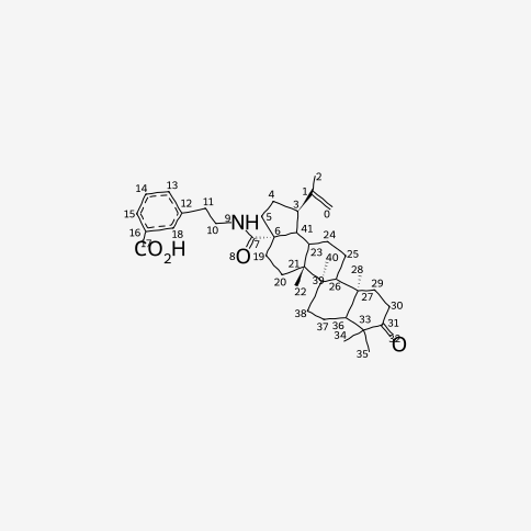 C=C(C)[C@@H]1CC[C@]2(C(=O)NCCc3cccc(C(=O)O)c3)CC[C@]3(C)C(CCC4[C@@]5(C)CCC(=O)C(C)(C)C5CC[C@]43C)C12